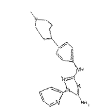 CN1CCC(c2ccc(Nc3nc(N)n(-c4ccccn4)n3)cc2)CC1